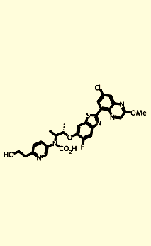 COc1cnc2c(-c3nc4cc(F)c(O[C@@H](C)C(C)N(C(=O)O)c5ccc(CCO)nc5)cc4s3)cc(Cl)cc2n1